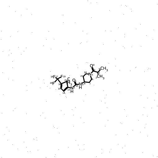 CC(C)C(=O)N1CCC(NC(=O)NC2=CC=C(C(F)(F)F)C2C)CC1